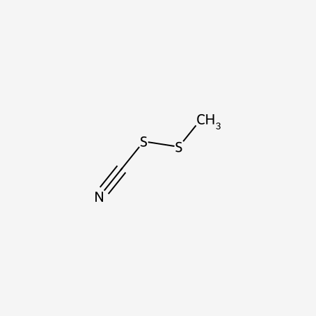 CSSC#N